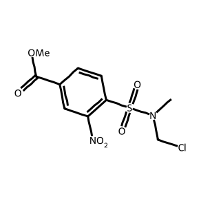 COC(=O)c1ccc(S(=O)(=O)N(C)CCl)c([N+](=O)[O-])c1